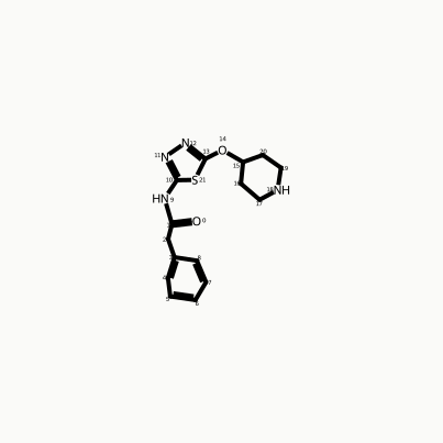 O=C(Cc1ccccc1)Nc1nnc(OC2CCNCC2)s1